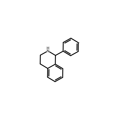 [c]1ccc(C2NCCc3ccccc32)cc1